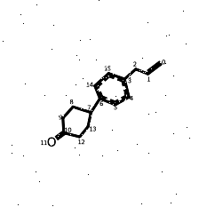 C=CCc1ccc(C2CCC(=O)CC2)cc1